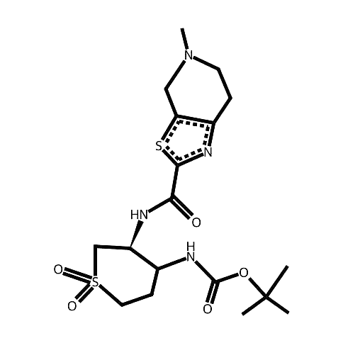 CN1CCc2nc(C(=O)N[C@@H]3CS(=O)(=O)CCC3NC(=O)OC(C)(C)C)sc2C1